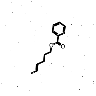 C/C=C/CCCOC(=O)c1ccccc1